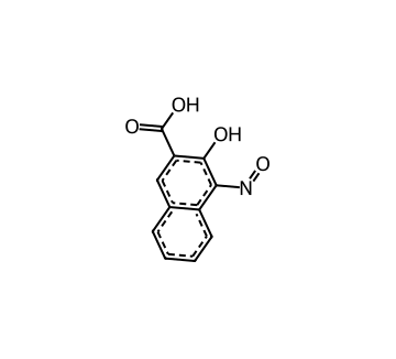 O=Nc1c(O)c(C(=O)O)cc2ccccc12